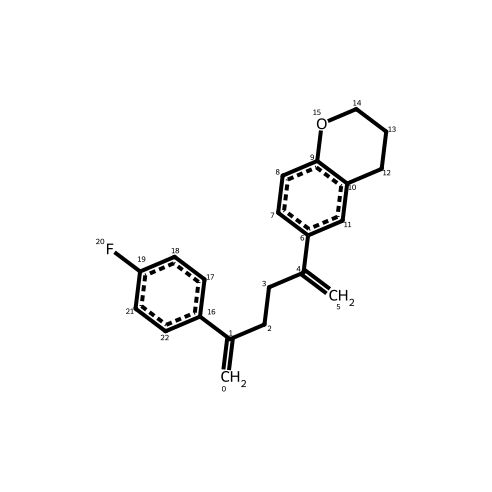 C=C(CCC(=C)c1ccc2c(c1)CCCO2)c1ccc(F)cc1